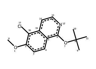 COc1ccc2c(OC(C)(C)C)nccc2c1Cl